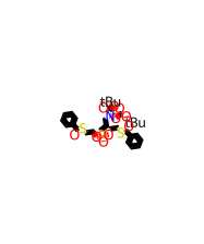 CC(C)(C)OC(=O)ON(CCCP(=O)(OCCSC(=O)c1ccccc1)OCCSC(=O)c1ccccc1)C(=O)OC(C)(C)C